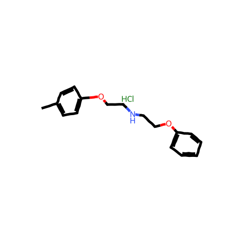 Cc1ccc(OCCNCCOc2ccccc2)cc1.Cl